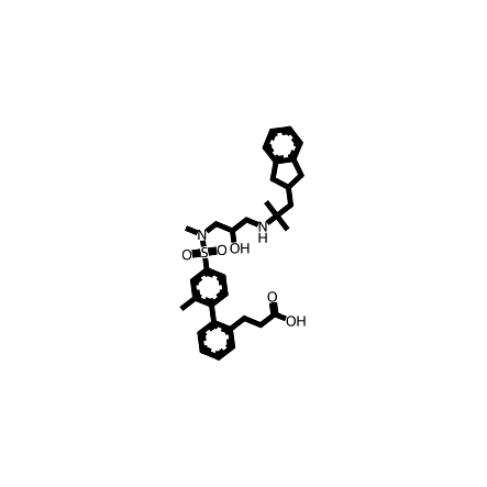 Cc1cc(S(=O)(=O)N(C)CC(O)CNC(C)(C)CC2Cc3ccccc3C2)ccc1-c1ccccc1CCC(=O)O